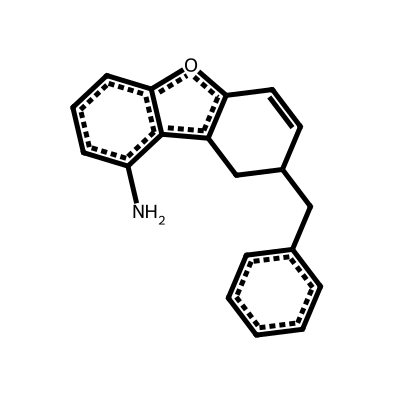 Nc1cccc2oc3c(c12)CC(Cc1ccccc1)C=C3